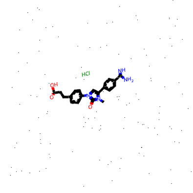 Cl.Cn1c(-c2ccc(C(=N)N)cc2)cn(-c2ccc(CCC(=O)O)cc2)c1=O